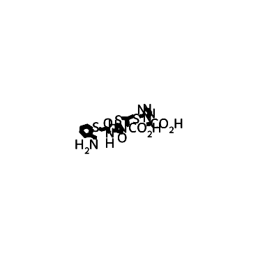 NCc1ccccc1SCC(=O)NC1C(=O)N2C(C(=O)O)=C(CSc3nnnn3CC(=O)O)CS[C@H]12